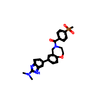 CN(C)c1nc2ccc(-c3ccc4c(c3)CN(C(=O)c3ccc(S(C)(=O)=O)cc3)CCO4)cc2[nH]1